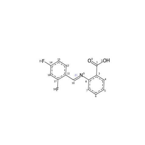 O=C(O)c1ccccc1/N=C/c1ccc(F)cc1F